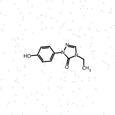 CCn1cnn(-c2ccc(O)cc2)c1=O